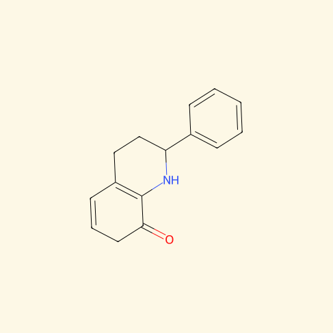 O=C1CC=CC2=C1NC(c1ccccc1)CC2